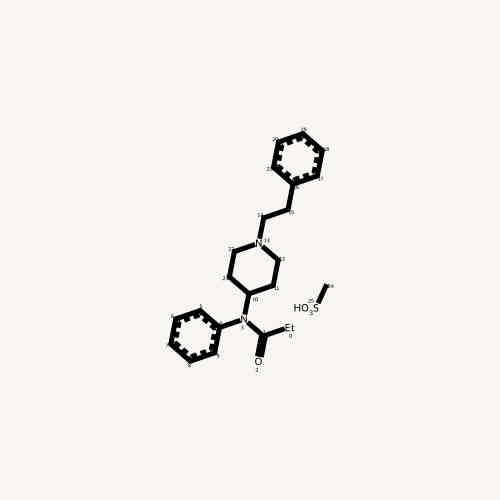 CCC(=O)N(c1ccccc1)C1CCN(CCc2ccccc2)CC1.CS(=O)(=O)O